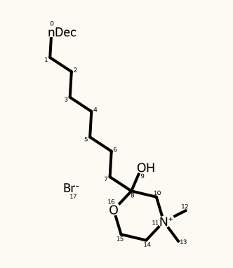 CCCCCCCCCCCCCCCCCC1(O)C[N+](C)(C)CCO1.[Br-]